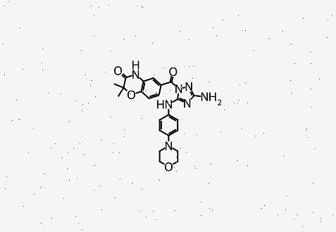 CC1(C)Oc2ccc(C(=O)n3nc(N)nc3Nc3ccc(N4CCOCC4)cc3)cc2NC1=O